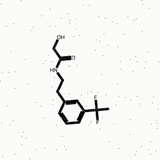 CC(F)(F)c1cccc(CCNC(=O)CO)c1